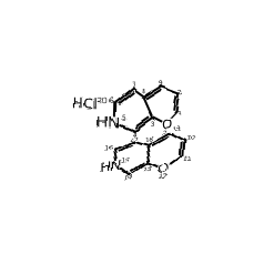 C1=COC2=CNC=CC2=C1.C1=COC2=CNC=CC2=C1.Cl